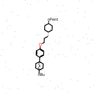 CCCCC[C@H]1CC[C@H](CCCOc2ccc(C34CCC(CCCC)(CC3)CC4)cc2)CC1